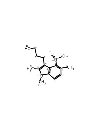 Cc1ccc2c(c(CCCO)c(C)n2C)c1[N+](=O)[O-]